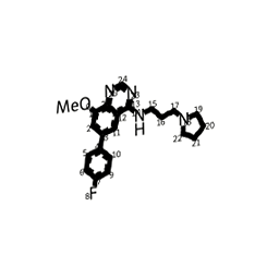 COc1cc(-c2ccc(F)cc2)cc2c(NCCCN3CCCC3)ncnc12